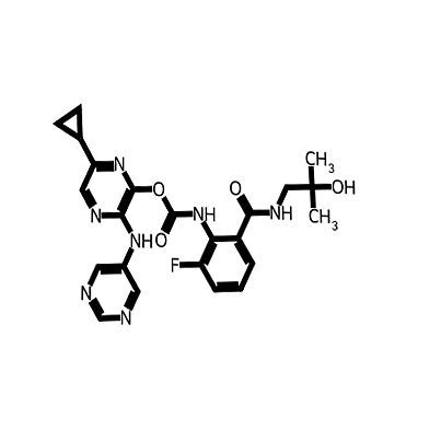 CC(C)(O)CNC(=O)c1cccc(F)c1NC(=O)Oc1nc(C2CC2)cnc1Nc1cncnc1